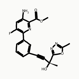 COC(=O)c1nc(-c2cccc(C#C[C@@](C)(O)c3nnc(C)o3)c2)c(F)cc1N